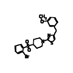 COc1cccc(Cc2csc(N3CCC(S(=O)(=O)c4ccccc4Br)CC3)n2)c1